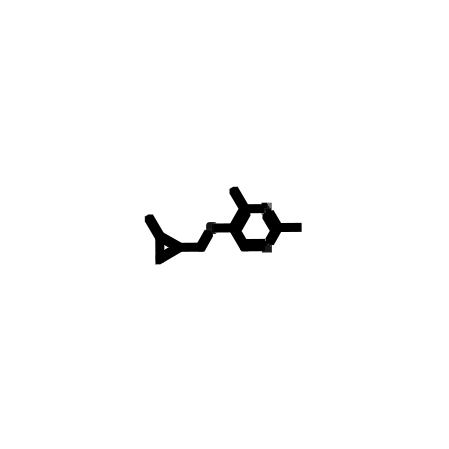 Cc1ncc(OCC2CC2C)c(C)n1